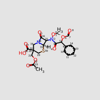 CON(C(=O)C(OC=O)c1ccccc1)C1C(=O)N2CC(COC(C)=O)(C(=O)O)CS[C@H]12